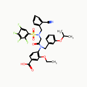 CCOc1cc(C(=O)O)ccc1N(Cc1cccc(OC(C)C)c1)C(=O)CN(Cc1ccccc1C#N)S(=O)(=O)c1cc(F)c(F)c(F)c1F